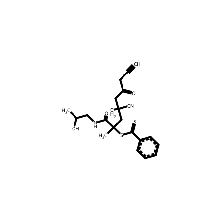 C#CCC(=O)CC(C)(C#N)CC(C)(SC(=S)c1ccccc1)C(=O)NCC(C)O